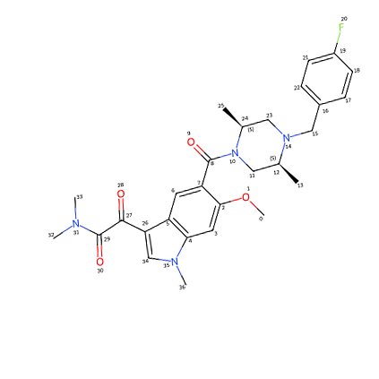 COc1cc2c(cc1C(=O)N1C[C@H](C)N(Cc3ccc(F)cc3)C[C@@H]1C)c(C(=O)C(=O)N(C)C)cn2C